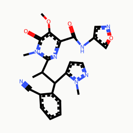 COc1c(C(=O)Nc2cnoc2)nc(C(C)C(c2ccccc2C#N)c2ccnn2C)n(C)c1=O